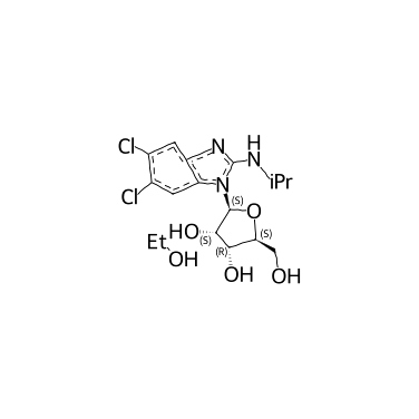 CC(C)Nc1nc2cc(Cl)c(Cl)cc2n1[C@H]1O[C@@H](CO)[C@H](O)[C@@H]1O.CCO